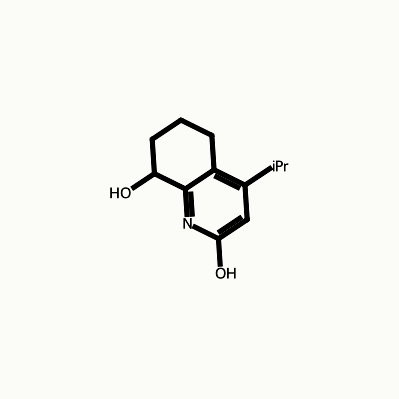 CC(C)c1cc(O)nc2c1CCCC2O